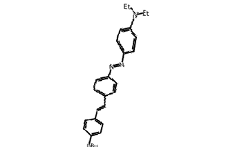 CCCCc1ccc(/C=C/c2ccc(/N=N/c3ccc(N(CC)CC)cc3)cc2)cc1